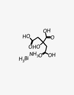 N.O=C(O)CC(O)(CC(=O)O)C(=O)O.[BiH3]